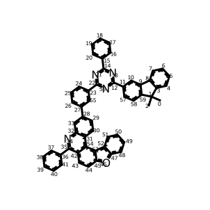 CC1(C)c2ccccc2-c2cc(-c3nc(-c4ccccc4)nc(-c4cccc(-c5ccc6c(c5)nc(-c5ccccc5)c5ccc7oc8ccccc8c7c56)c4)n3)ccc21